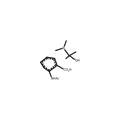 CC(=O)Nc1ccccc1C(=O)O.CN(C)C(C)(C)O